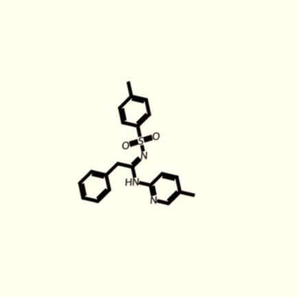 Cc1ccc(S(=O)(=O)N=C(Cc2ccccc2)Nc2ccc(C)cn2)cc1